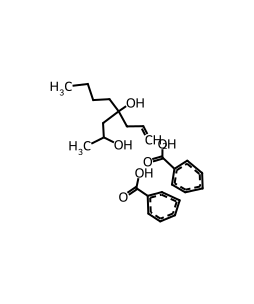 C=CCC(O)(CCCC)CC(C)O.O=C(O)c1ccccc1.O=C(O)c1ccccc1